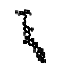 CN(C)CCCOc1cc(F)c(CNc2nc3nc(O[C@@H]4CO[C@H]5[C@@H]4OC[C@H]5O)[nH]c3cc2Cl)c(F)c1